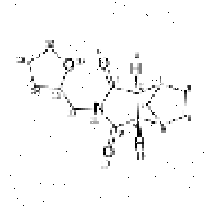 O=C1[C@@H]2C3C=CC(C3)[C@@H]2C(=O)N1CC1CCCO1